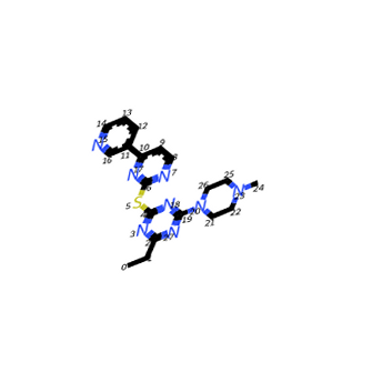 CCc1nc(Sc2nccc(-c3cccnc3)n2)nc(N2CCN(C)CC2)n1